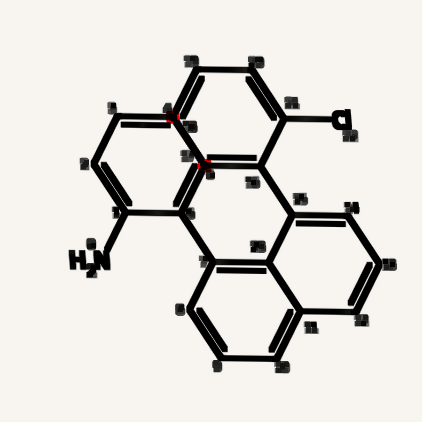 Nc1ccccc1-c1cccc2cccc(-c3ccccc3Cl)c12